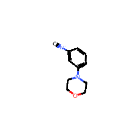 [C-]#[N+]c1cccc(N2CCOCC2)c1